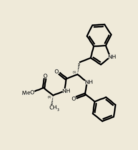 COC(=O)[C@@H](C)NC(=O)[C@H](Cc1c[nH]c2ccccc12)NC(=O)c1ccccc1